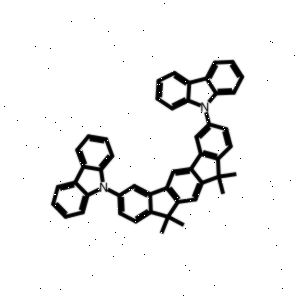 CC1(C)c2ccc(-n3c4ccccc4c4ccccc43)cc2-c2cc3c(cc21)C(C)(C)c1ccc(-n2c4ccccc4c4ccccc42)cc1-3